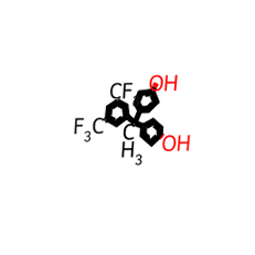 CC(c1ccc(O)cc1)(c1ccc(O)cc1)c1cc(C(F)(F)F)cc(C(F)(F)F)c1